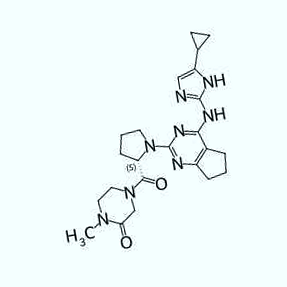 CN1CCN(C(=O)[C@@H]2CCCN2c2nc3c(c(Nc4ncc(C5CC5)[nH]4)n2)CCC3)CC1=O